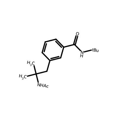 CC(=O)NC(C)(C)Cc1cccc(C(=O)NC(C)(C)C)c1